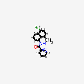 Cc1ccc(Br)c2cccc(NC(=O)c3ccccn3)c12